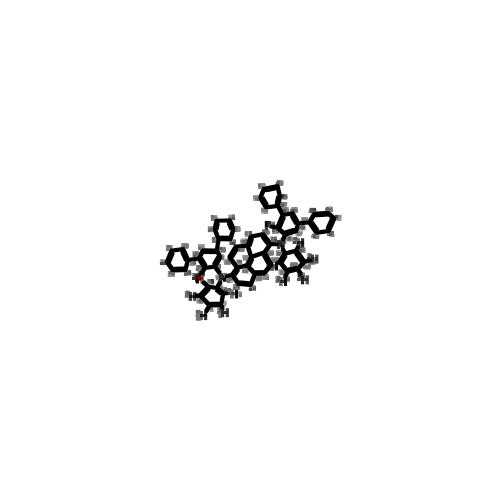 [2H]c1c([2H])c([2H])c(N(c2cc(-c3ccccc3)cc(-c3ccccc3)c2F)c2ccc3ccc4c(N(c5cc(-c6ccccc6)cc(-c6ccccc6)c5F)c5c([2H])c([2H])c([2H])c([2H])c5[2H])ccc5ccc2c3c54)c([2H])c1[2H]